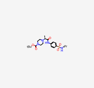 CC(C)NS(=O)(=O)c1ccc(NC(=O)[C@H](C)N2CCN(C(=O)OC(C)(C)C)CC2)cc1